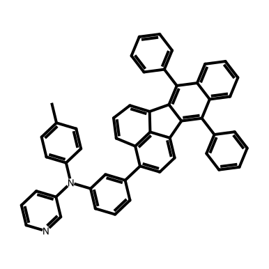 Cc1ccc(N(c2cccnc2)c2cccc(-c3ccc4c5c(cccc35)-c3c-4c(-c4ccccc4)c4ccccc4c3-c3ccccc3)c2)cc1